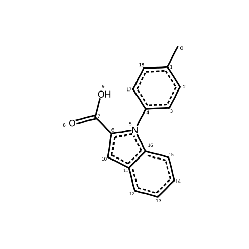 Cc1ccc(-n2c(C(=O)O)cc3ccccc32)cc1